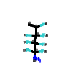 CC(F)C(F)(F)C(F)(F)C(N)(F)F